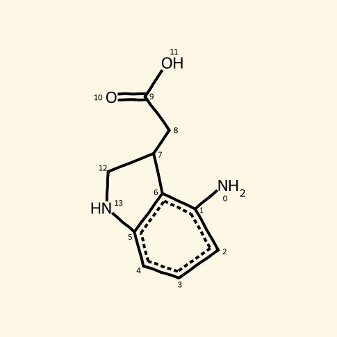 Nc1cccc2c1C(CC(=O)O)CN2